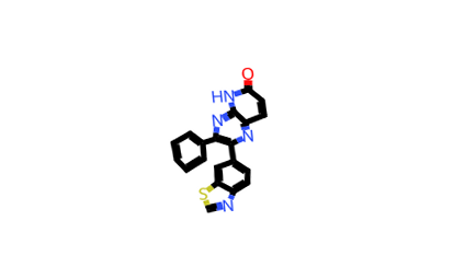 O=c1ccc2nc(-c3ccc4ncsc4c3)c(-c3ccccc3)nc2[nH]1